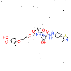 Cc1ncsc1-c1ccc(N(C)NC(=O)[C@@H]2C[C@@H](O)CN2C(=O)C(NC(=O)COCCCCOc2ccc(C(=O)O)cc2)C(C)(C)C)cc1